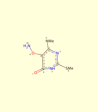 CNc1nc(SC)[nH]c(=O)c1ON